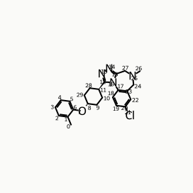 Cc1ccccc1O[C@H]1CC[C@H](c2nnc3n2-c2ccc(Cl)cc2CN(C)C3)CC1